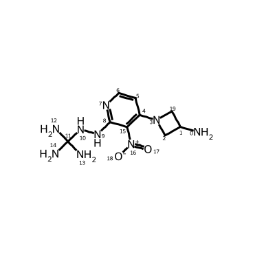 NC1CN(c2ccnc(NNC(N)(N)N)c2[N+](=O)[O-])C1